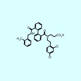 Cc1ccccc1CNC(=O)c1ccccc1-c1ccccc1C(=O)N(CCC(=O)O)CCc1ccc(Cl)cc1Cl